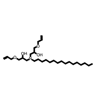 C=CCOCC(O)CN(CCCCCCCCCCCCCCCC)CC(O)COCC=C